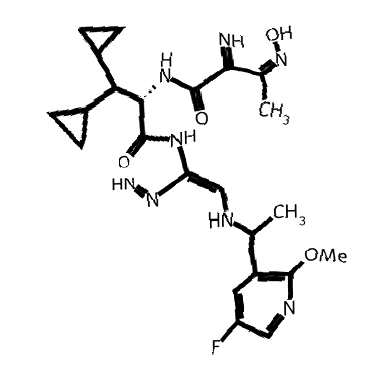 COc1ncc(F)cc1C(C)N/C=C(\N=N)NC(=O)[C@@H](NC(=O)C(=N)/C(C)=N\O)C(C1CC1)C1CC1